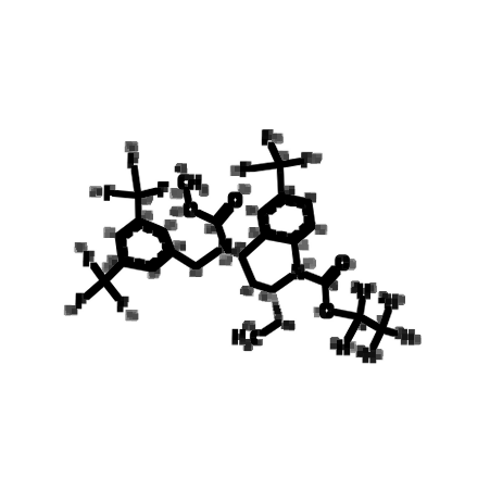 [2H]C([2H])([2H])C([2H])([2H])OC(=O)N1c2ccc(C(F)(F)F)cc2[C@@H](N(Cc2cc(C(F)(F)F)cc(C(F)(F)F)c2)C(=O)OC)C[C@H]1CC